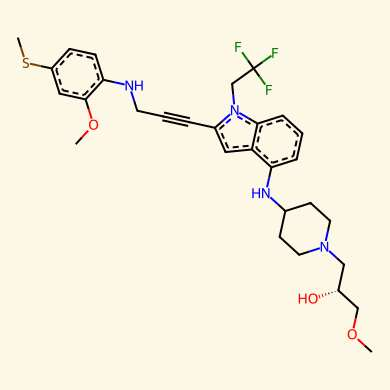 COC[C@H](O)CN1CCC(Nc2cccc3c2cc(C#CCNc2ccc(SC)cc2OC)n3CC(F)(F)F)CC1